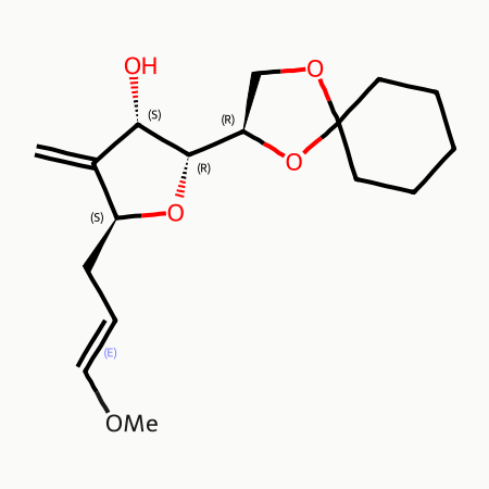 C=C1[C@H](C/C=C/OC)O[C@@H]([C@H]2COC3(CCCCC3)O2)[C@H]1O